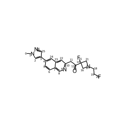 Cn1cc(-c2ccc3cnc(CC(=O)C4(F)CN(CCF)C4)cc3c2)cn1